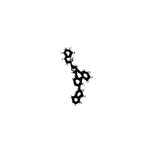 c1ccc2cc(-c3ccc4c(c3)c3ccccc3c3cc(-c5ccc6ccccc6n5)sc43)ccc2c1